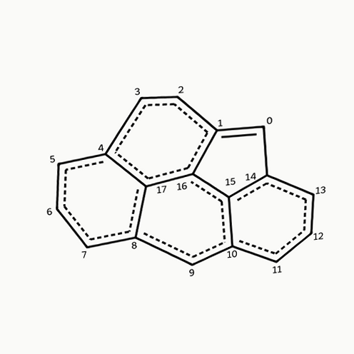 C1=c2ccc3cccc4cc5cccc1c5c2c34